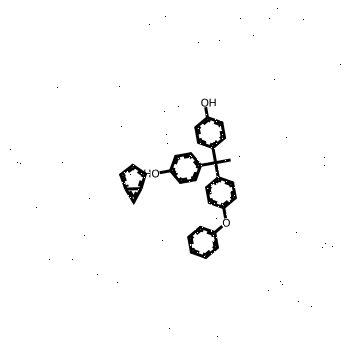 CC(c1ccc(O)cc1)(c1ccc(O)cc1)c1ccc(Oc2ccccc2)cc1.c1cc2cc-2c1